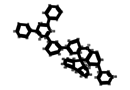 c1ccc(-c2nc(-c3ccccc3)nc(-c3cccc(-c4ccc5c(c4)C4(c6cc(-c7cccnc7)ccc6O5)c5ccccc5-c5ccccc54)c3)n2)cc1